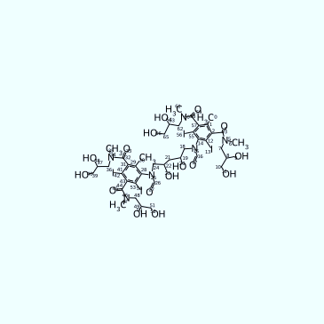 Cc1c(C(=O)N(C)CC(O)CO)c(I)c(N(C=O)CC(O)CC(O)CN(C=O)c2c(C)c(C(=O)N(C)CC(O)CO)c(I)c(C(=O)N(C)CC(O)CO)c2I)c(I)c1C(=O)N(C)CC(O)CO